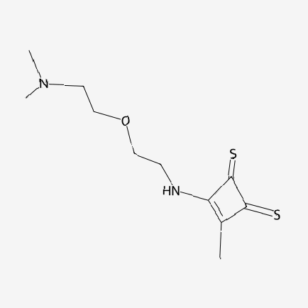 Cc1c(NCCOCCN(C)C)c(=S)c1=S